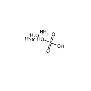 N.O.O=S(=O)(O)O.[NaH]